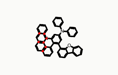 c1ccc(-c2ccccc2-c2c(-c3cccc4c3oc3ccccc34)cc(N(c3ccccc3)c3ccccc3)cc2N(c2ccccc2)c2ccccc2)cc1